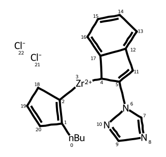 CCCCC1=[C]([Zr+2][CH]2C(n3cncn3)=Cc3ccccc32)CC=C1.[Cl-].[Cl-]